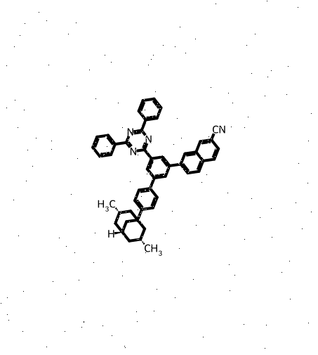 C[C@@H]1C[C@@H]2C[C@H](C)CC(c3ccc(-c4cc(-c5ccc6ccc(C#N)cc6c5)cc(-c5nc(-c6ccccc6)nc(-c6ccccc6)n5)c4)cc3)(C1)C2